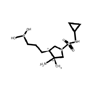 C[C@]1(N)CN(S(=O)(=O)NC2CC2)C[C@@H]1CCCB(O)O